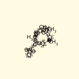 COc1cc2c3cc1Oc1c(OC)c(C)cc4c1[C@@H](Cc1ccc(OCCCN5C(=O)c6ccccc6C5=O)c(c1)Oc1ccc(cc1)C[C@@H]3N(C)CC2)N(C)CC4